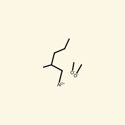 CCCC(C)[CH2][Al+2].C[O-].C[O-]